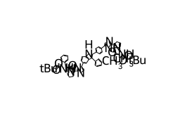 Cc1cccc(-c2c(-c3ccc(-c4cnc([C@@H]5CCCN5C(=O)[C@@H](C)NC(=O)OC(C)(C)C)[nH]4)cc3)[nH]c3ccc(-c4cnc([C@@H]5CCCN5C(=O)[C@H](NC(=O)OC(C)(C)C)c5ccccc5)[nH]4)cc23)c1